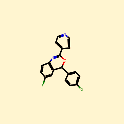 Fc1ccc2c(c1)C(c1ccc(Cl)cc1)OC(c1ccncc1)=N2